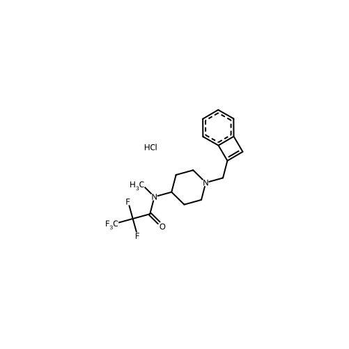 CN(C(=O)C(F)(F)C(F)(F)F)C1CCN(CC2=Cc3ccccc32)CC1.Cl